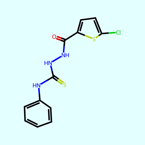 O=C(NNC(=S)Nc1ccccc1)c1ccc(Cl)s1